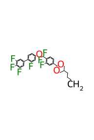 C=CCCC1COC(c2ccc(C(F)(F)Oc3ccc(-c4cc(F)c(F)c(F)c4)c(F)c3)c(F)c2)OC1